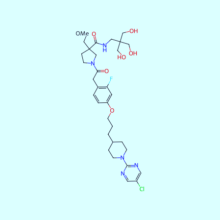 COCC1(C(=O)NCC(CO)(CO)CO)CCN(C(=O)Cc2ccc(OCCCC3CCN(c4ncc(Cl)cn4)CC3)cc2F)C1